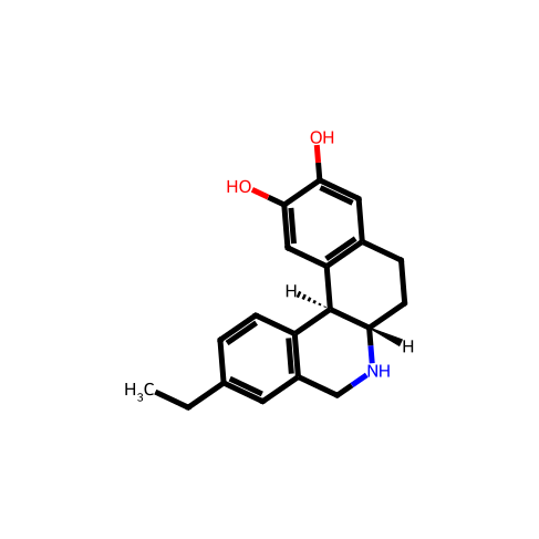 CCc1ccc2c(c1)CN[C@H]1CCc3cc(O)c(O)cc3[C@H]21